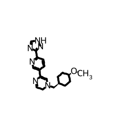 CO[C@H]1CC[C@@H](CN2C=C(c3ccc(-c4nc[nH]n4)nc3)N=CC2)CC1